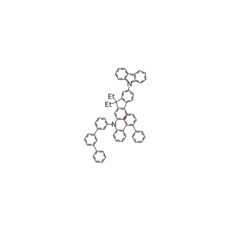 CCC1(CC)c2cc(N(c3cccc(-c4cccc(-c5ccccc5)c4)c3)c3ccccc3-c3ccccc3-c3ccccc3)ccc2-c2ccc(-n3c4ccccc4c4ccccc43)cc21